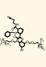 C[Si](C)(C)CCOCOc1cc(Br)cc2c1nc(-c1cccc(C(=O)NCCC#N)c1SCc1ccccc1)c(=O)n2COCC[Si](C)(C)C